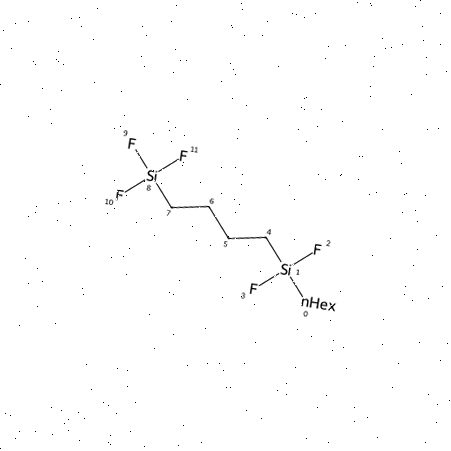 CCCCCC[Si](F)(F)CCCC[Si](F)(F)F